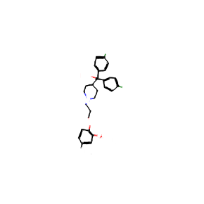 COc1cc(C)ccc1OCCCN1CCC(C(O)(c2ccc(F)cc2)c2ccc(F)cc2)CC1